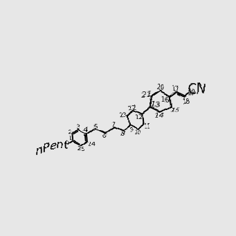 CCCCCc1ccc(CCCCC2CCC(C3CCC(C=CC#N)CC3)CC2)cc1